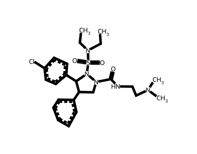 CCN(CC)S(=O)(=O)N1C(c2ccc(Cl)cc2)C(c2ccccc2)CN1C(=O)NCCN(C)C